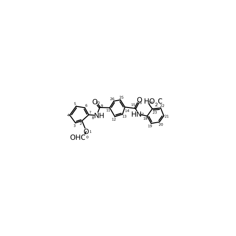 O=COc1ccccc1NC(=O)c1ccc(C(=O)Nc2ccccc2C(=O)O)cc1